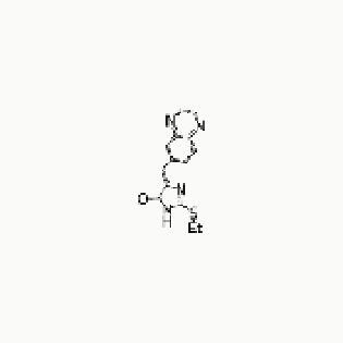 CCSC1=N/C(=C\c2ccc3nccnc3c2)C(=O)N1